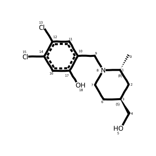 C[C@@H]1C[C@@H](CO)CCN1Cc1cc(Cl)c(Cl)cc1O